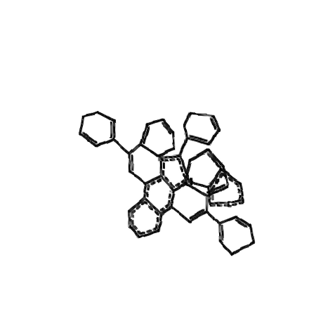 C1=CCCC(/C(=C\c2c3ccccc3c(/C=C(/C3=CCCC=C3)C3=CC=CCC3)c3c2nc(C2=CC=CCC2)n3-c2ccccc2)C2=CCCC=C2)=C1